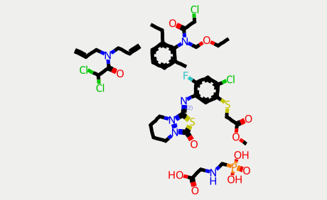 C=CCN(CC=C)C(=O)C(Cl)Cl.CCOCN(C(=O)CCl)c1c(C)cccc1CC.COC(=O)CSc1cc(/N=c2\sc(=O)n3n2CCCC3)c(F)cc1Cl.O=C(O)CNCP(=O)(O)O